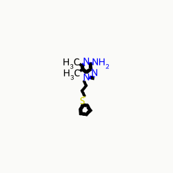 Cc1nc(N)c2ncn(CCCCSc3ccccc3)c2c1C